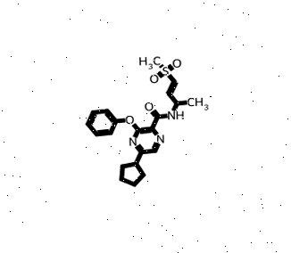 CC(C=CS(C)(=O)=O)NC(=O)c1ncc(C2CCCC2)nc1Oc1ccccc1